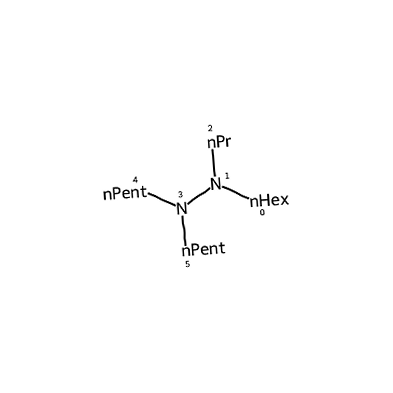 CCCCCCN(CCC)N(CCCCC)CCCCC